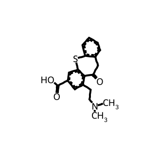 CN(C)CCc1cc(C(=O)O)cc2c1C(=O)Cc1ccccc1S2